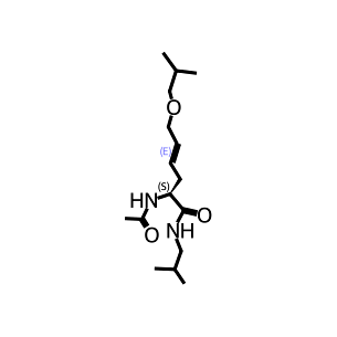 CC(=O)N[C@@H](C/C=C/COCC(C)C)C(=O)NCC(C)C